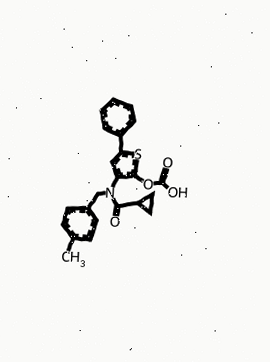 Cc1ccc(CN(C(=O)C2CC2)c2cc(-c3ccccc3)sc2OC(=O)O)cc1